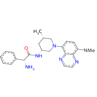 CNc1ccc(N2C[C@@H](C)C[C@@H](NC(=O)[C@H](N)c3ccccc3)C2)c2nccnc12